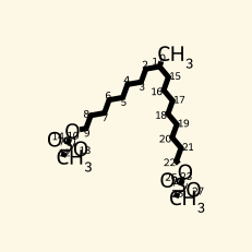 CC(CCCCCCCCOS(C)(=O)=O)CCCCCCCCOS(C)(=O)=O